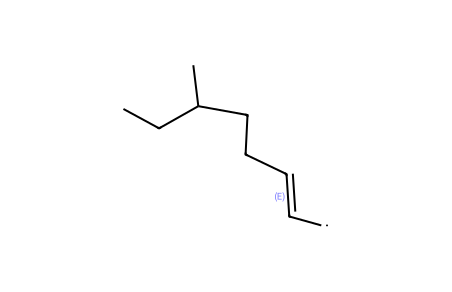 [CH2]/C=C/CCC(C)CC